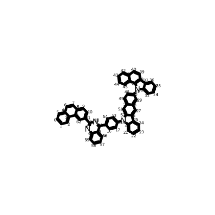 c1ccc2c(c1)ccc1ccc(-c3nc(-c4ccc(-n5c6ccccc6c6cc7cc(-n8c9ccccc9c9ccc%10ccccc%10c98)ccc7cc65)cc4)c4ccccc4n3)cc12